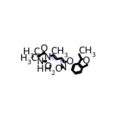 C=N/C(=C\C=C(/C)N1C(=O)NC(C)(C)C1=O)Oc1cccc2c1C(CC)OC2